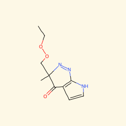 CCOOCC1(C)N=Nc2[nH]ccc2C1=O